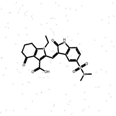 CCn1c(/C=C2\C(=O)Nc3ccc(S(=O)(=O)N(C)C)cc32)c(C(=O)O)c2c1CCCC2=O